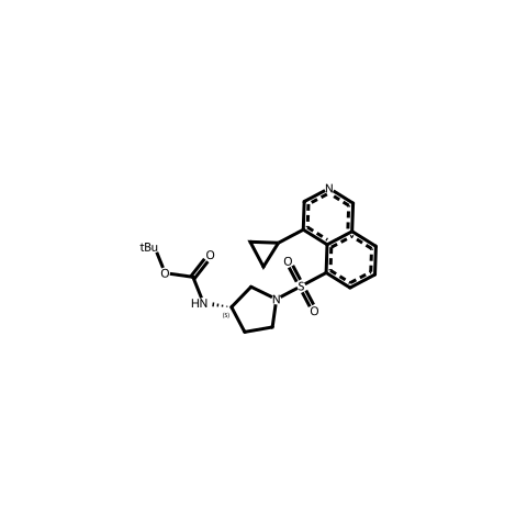 CC(C)(C)OC(=O)N[C@H]1CCN(S(=O)(=O)c2cccc3cncc(C4CC4)c23)C1